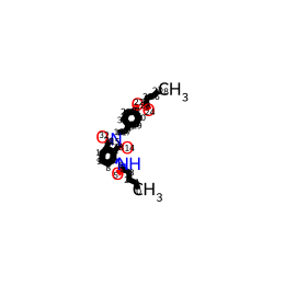 CCCCC(=O)Nc1cccc2c1C(=O)N(CCc1ccc(OC(=O)CCCC)cc1)C2=O